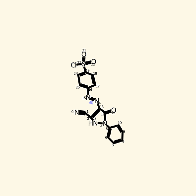 N#Cc1[nH]n(-c2ccccc2)c(=O)c1/N=N/c1ccc(S(=O)(=O)Cl)cc1